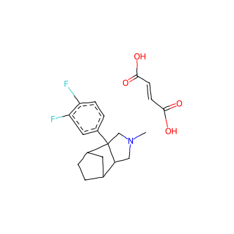 CN1CC2C3CCC(C3)C2(c2ccc(F)c(F)c2)C1.O=C(O)/C=C/C(=O)O